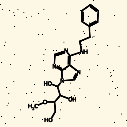 COC(CO)C(O)C(O)n1cnc2c(NCCc3ccccc3)ncnc21